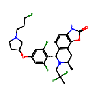 C[C@@H]1Cc2c(ccc3[nH]c(=O)oc23)[C@@H](c2c(F)cc(O[C@H]3CCN(CCCF)C3)cc2F)N1CC(C)(F)F